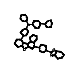 c1ccc(-c2ccc(N(c3ccccc3)c3ccc(-c4cccc5oc6cc(-c7ccc(-c8nc9ccccc9o8)cc7)c7ccccc7c6c45)cc3)cc2)cc1